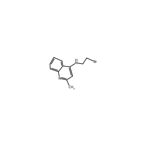 Cc1cc(NCCBr)c2ccccc2n1